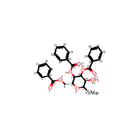 CSC1O[C@H](COC(=O)c2ccccc2)C(OC(=O)c2ccccc2)C(OC(=O)c2ccccc2)[C@H]1O